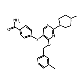 Cc1cccc(COc2nc(N3CCN(C)CC3)ncc2Sc2ccc(C(N)=O)cc2)c1